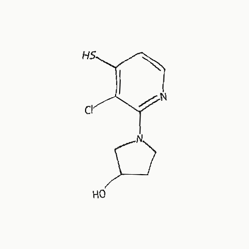 OC1CCN(c2nccc(S)c2Cl)C1